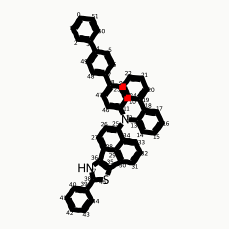 c1ccc(-c2ccc(-c3ccc(N(c4ccccc4-c4ccccc4)c4ccc5c6c(cccc46)C4=C5NC(c5ccccc5)S4)cc3)cc2)cc1